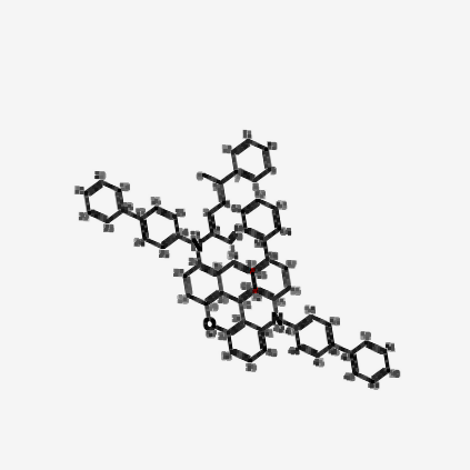 C=C/C(=C\C=C(/C)c1ccccc1)N(c1ccc(-c2ccccc2)cc1)c1ccc2c3c(cccc13)-c1c(cccc1N(c1ccc(-c3ccccc3)cc1)c1ccc(-c3ccccc3)cc1)O2